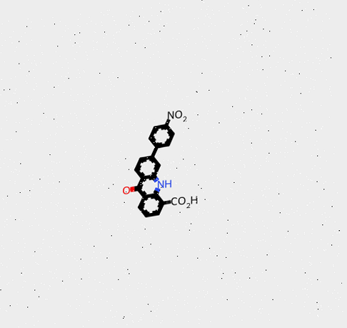 O=C(O)c1cccc2c(=O)c3ccc(-c4ccc([N+](=O)[O-])cc4)cc3[nH]c12